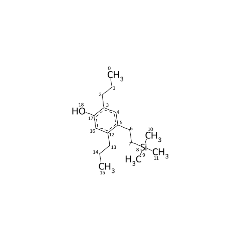 CCCc1cc(CC[Si](C)(C)C)c(CCC)cc1O